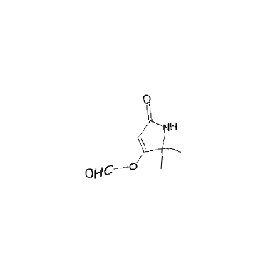 CC1(C)NC(=O)C=C1OC=O